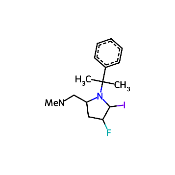 CNCC1CC(F)C(I)N1C(C)(C)c1ccccc1